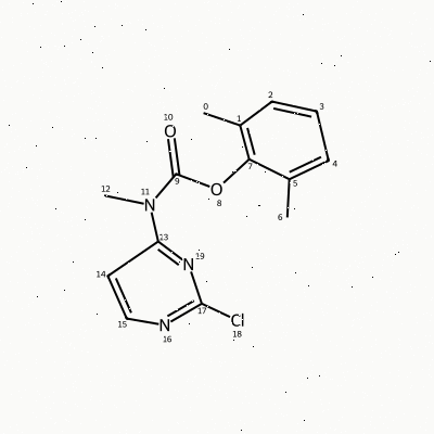 Cc1cccc(C)c1OC(=O)N(C)c1ccnc(Cl)n1